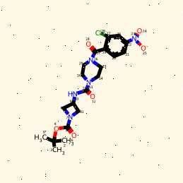 CC(C)(C)OC(=O)N1CC(NC(=O)N2CCN(C(=O)c3ccc([N+](=O)[O-])cc3Cl)CC2)C1